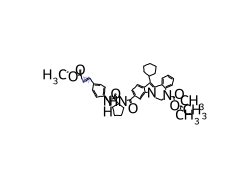 CCOC(=O)/C=C/c1ccc(NC(=O)C2(NC(=O)c3ccc4c(C5CCCCC5)c5n(c4c3)CCN(C(=O)OC(C)(C)C)c3ccccc3-5)CCCC2)cc1